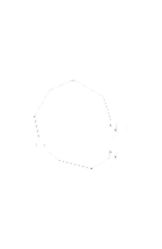 C1CCOCC[N]NC1